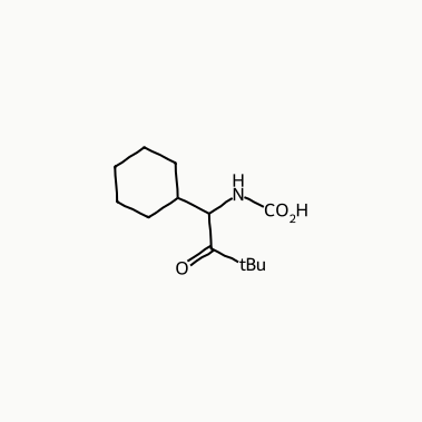 CC(C)(C)C(=O)C(NC(=O)O)C1CCCCC1